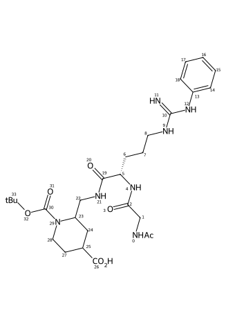 CC(=O)NCC(=O)N[C@@H](CCCNC(=N)Nc1ccccc1)C(=O)NCC1CC(C(=O)O)CCN1C(=O)OC(C)(C)C